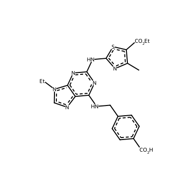 CCOC(=O)c1sc(Nc2nc(NCc3ccc(C(=O)O)cc3)c3ncn(CC)c3n2)nc1C